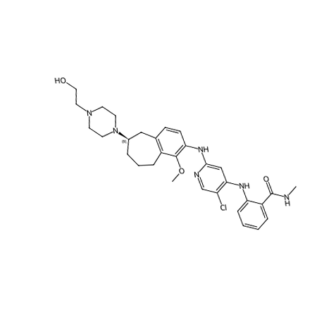 CNC(=O)c1ccccc1Nc1cc(Nc2ccc3c(c2OC)CCC[C@@H](N2CCN(CCO)CC2)C3)ncc1Cl